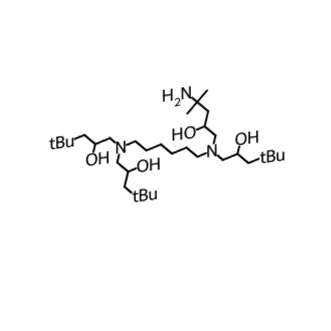 CC(C)(C)CC(O)CN(CCCCCCN(CC(O)CC(C)(C)C)CC(O)CC(C)(C)N)CC(O)CC(C)(C)C